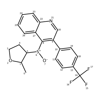 CC1OCCC1[S+]([O-])c1c(-c2ccc(C(F)(F)F)cc2)cnc2ccccc12